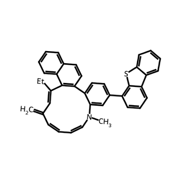 C=C1/C=C\C=C/N(C)c2cc(-c3cccc4c3sc3ccccc34)ccc2-c2ccc3ccccc3c2/C(CC)=C/1